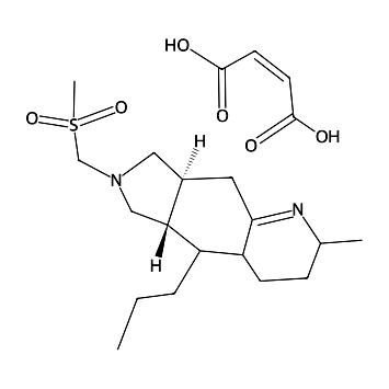 CCCC1C2CCC(C)N=C2C[C@@H]2CN(CS(C)(=O)=O)C[C@@H]12.O=C(O)/C=C\C(=O)O